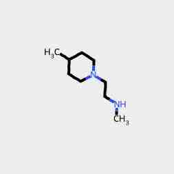 CNCCN1CCC(C)CC1